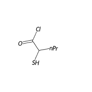 CCCC(S)C(=O)Cl